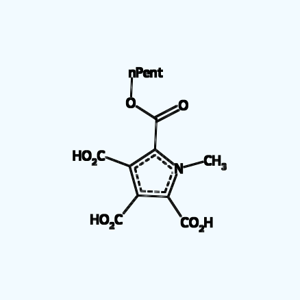 CCCCCOC(=O)c1c(C(=O)O)c(C(=O)O)c(C(=O)O)n1C